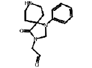 O=CCN1CN(c2ccccc2)C2(CCNCC2)C1=O